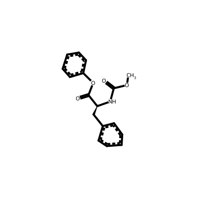 COC(=O)N[C@@H](Cc1ccccc1)C(=O)Oc1ccccc1